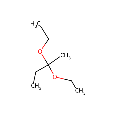 CCOC(C)(CC)OCC